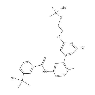 Cc1ccc(NC(=O)c2cccc(C(C)(C)C#N)c2)cc1-c1cc(Cl)nc(OCCO[Si](C)(C)C(C)(C)C)c1